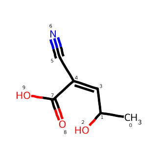 CC(O)C=C(C#N)C(=O)O